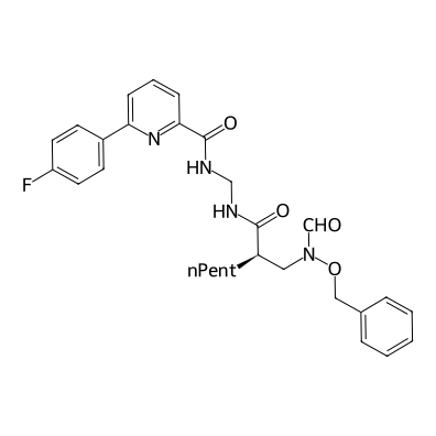 CCCCC[C@H](CN(C=O)OCc1ccccc1)C(=O)NCNC(=O)c1cccc(-c2ccc(F)cc2)n1